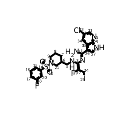 N/C(=N\C(NCC1CCCN(S(=O)(=O)c2cccc(F)c2)C1)=C(\F)CI)c1c[nH]c2ncc(Cl)cc12